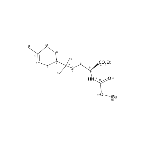 CCOC(=O)[C@H](CSC(C)(C)C1CC=C(C)CC1)NC(=O)OC(C)(C)C